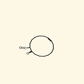 O=CC1CCCCCC=CCCCCCCCC1=O